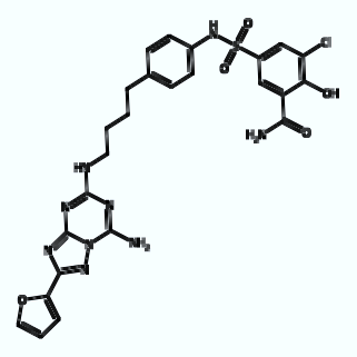 NC(=O)c1cc(S(=O)(=O)Nc2ccc(CCCCNc3nc(N)n4nc(-c5ccco5)nc4n3)cc2)cc(Cl)c1O